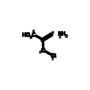 C=C(OCC)C(=O)O.N